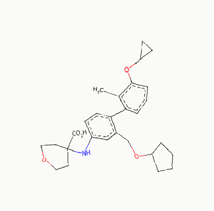 Cc1c(OC2CC2)cccc1-c1ccc(NC2(C(=O)O)CCOCC2)cc1COC1CCCC1